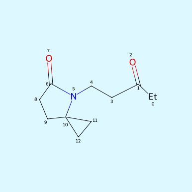 CCC(=O)CCN1C(=O)CCC12CC2